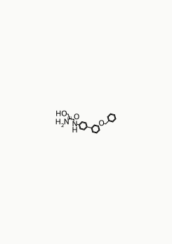 N[C@@H](CO)C(=O)Nc1ccc(-c2cccc(OCc3ccccc3)c2)cc1